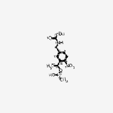 CCCCC(=O)NCc1ccc([N+](=O)[O-])c(C(C)OP(C)O)c1